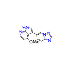 COc1ccnc2[nH]cc(-c3ccc4ncnn4c3)c12